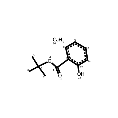 CC(C)(C)OC(=O)c1ccccc1O.[CaH2]